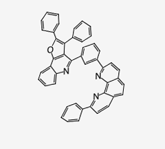 c1ccc(-c2ccc3ccc4ccc(-c5cccc(-c6nc7ccccc7c7oc(-c8ccccc8)c(-c8ccccc8)c67)c5)nc4c3n2)cc1